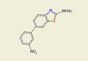 CC(=O)Nc1nc2ccc(-c3cccc([N+](=O)[O-])c3)cc2s1